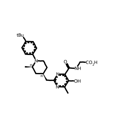 Cc1nc(C[C@@H]2CCN(c3ccc(C(C)(C)C)cc3)[C@H](C)C2)nc(C(=O)NCC(=O)O)c1O